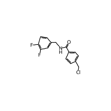 O=C(NCc1ccc(F)c(F)c1)c1ccc(CCl)cc1